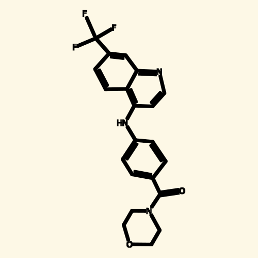 O=C(c1ccc(Nc2ccnc3cc(C(F)(F)F)ccc23)cc1)N1CCOCC1